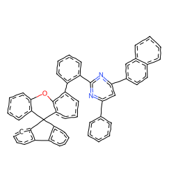 c1ccc(-c2cc(-c3ccc4ccccc4c3)nc(-c3ccccc3-c3cccc4c3Oc3ccccc3C43c4ccccc4-c4ccccc43)n2)cc1